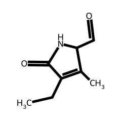 CCC1=C(C)C(C=O)NC1=O